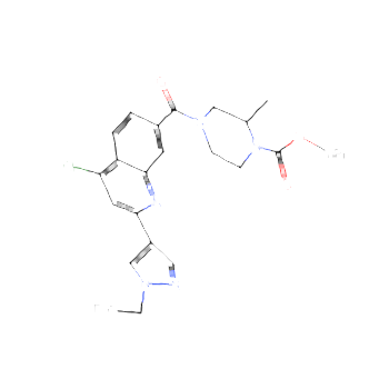 CCCOC(=O)N1CCN(C(=O)c2ccc3c(Cl)cc(-c4cnn(CC(F)(F)F)c4)nc3c2)CC1C